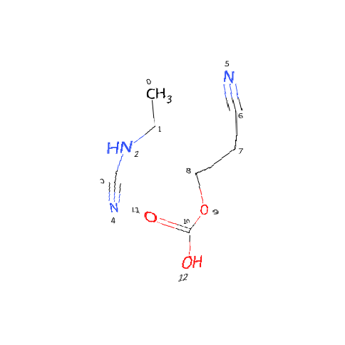 CCNC#N.N#CCCOC(=O)O